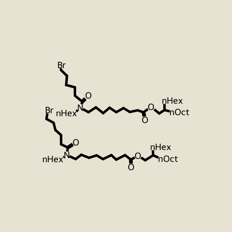 CCCCCCCCC(CCCCCC)COC(=O)CCCCCCCCN(CCCCCC)C(=O)CCCCCBr.CCCCCCCCC(CCCCCC)COC(=O)CCCCCCCCN(CCCCCC)C(=O)CCCCCBr